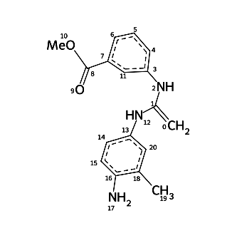 C=C(Nc1cccc(C(=O)OC)c1)Nc1ccc(N)c(C)c1